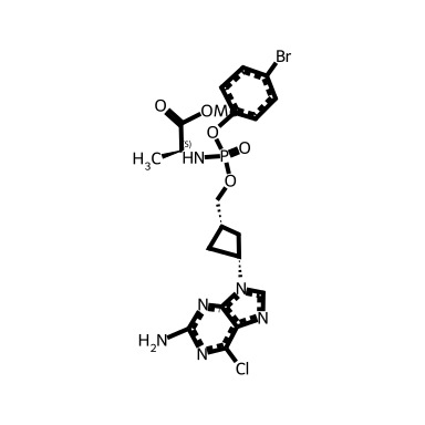 COC(=O)[C@H](C)NP(=O)(OC[C@H]1C[C@@H](n2cnc3c(Cl)nc(N)nc32)C1)Oc1ccc(Br)cc1